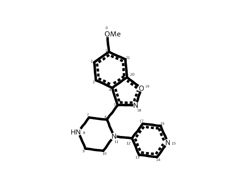 COc1ccc2c(C3CNCCN3c3ccncc3)noc2c1